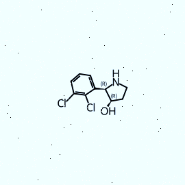 O[C@@H]1CCN[C@@H]1c1cccc(Cl)c1Cl